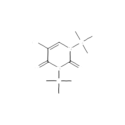 CC(C)c1cn([Si](C)(C)C)c(=O)n([Si](C)(C)C)c1=O